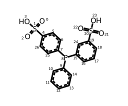 O=S(=O)(O)c1ccc(P(c2ccccc2)c2cccc(S(=O)(=O)O)c2)cc1